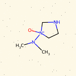 CN(C)[N+]1([O-])CCNC1